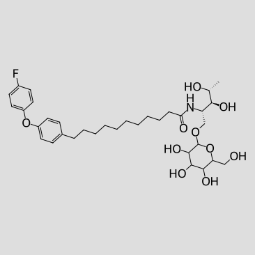 C[C@@H](O)[C@@H](O)[C@H](COC1OC(CO)C(O)C(O)C1O)NC(=O)CCCCCCCCCCc1ccc(Oc2ccc(F)cc2)cc1